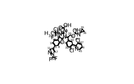 CC(C)(C)C[C@]1(c2ccc(-c3cnn(C(F)F)c3)cc2F)NC(=NC(=O)O)N(C(COC(=O)NC2CC2)c2ccc(Cl)c(-c3ncccc3Cl)c2)C1=O